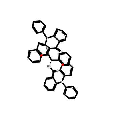 O=C(N[C@@H](c1ccccc1)[C@@H](NC(=O)c1ccccc1P(c1ccccc1)c1ccccc1)c1ccccc1)c1ccccc1P(c1ccccc1)c1ccccc1